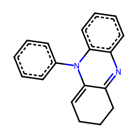 C1=C2C(=Nc3ccccc3N2c2ccccc2)CCC1